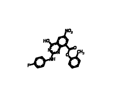 Cc1ccccc1OC(=O)c1cc([N+](=O)[O-])cc2c(O)nc(Nc3ccc(F)cc3)nc12